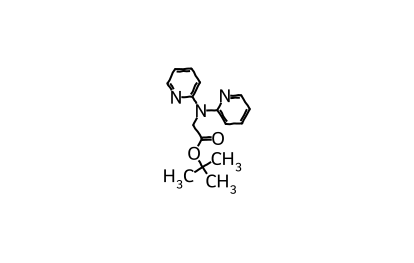 CC(C)(C)OC(=O)CN(c1ccccn1)c1ccccn1